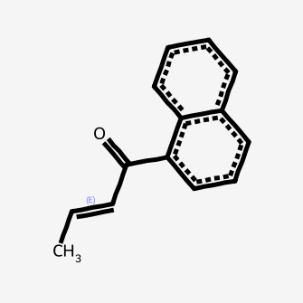 C/C=C/C(=O)c1cccc2ccccc12